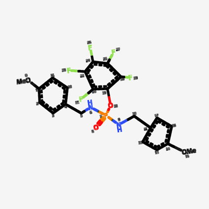 COc1ccc(CNP(=O)(NCc2ccc(OC)cc2)Oc2c(F)c(F)c(F)c(F)c2F)cc1